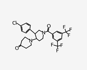 O=C1CCN(C2CCN(C(=O)c3cc(C(F)(F)F)cc(C(F)(F)F)c3)CC2c2ccc(Cl)cc2)CC1